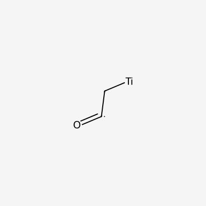 O=[C][CH2][Ti]